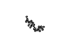 c1ccc(-c2ccc3c(c2)c2ccccc2n3-c2nc(-c3ccccc3)nc(-c3cccc4c3oc3c(-c5nc6ccccc6o5)c(-c5ccc(-c6ccc7c(c6)sc6c(-c8nc(-c9ccccc9)nc(-c9cccc%10c9oc9c(C%11Nc%12ccccc%12O%11)c(-c%11ccccc%11)ccc9%10)n8)cccc67)cc5)ccc34)n2)cc1